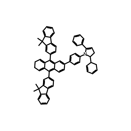 CC1(C)c2ccccc2-c2ccc(-c3c4c(c(-c5ccc6c(c5)C(C)(C)c5ccccc5-6)c5cc(-c6ccc(N7C(c8ccccc8)=CCC7C7C=CC=CC7)cc6)ccc35)=CCCC=4)cc21